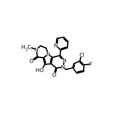 CN1CCn2c(c(O)c3c(=O)n(Cc4ccc(F)c(Cl)c4)nc(-c4ccccn4)c32)C1=O